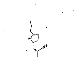 C#C/C(C)=C\C1CN=C(CCC)N1